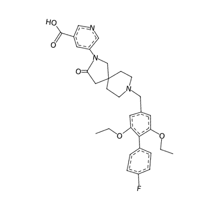 CCOc1cc(CN2CCC3(CC2)CC(=O)N(c2cncc(C(=O)O)c2)C3)cc(OCC)c1-c1ccc(F)cc1